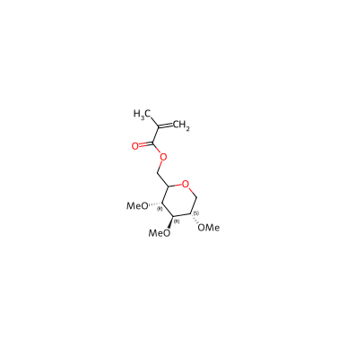 C=C(C)C(=O)OCC1OC[C@H](OC)[C@@H](OC)[C@@H]1OC